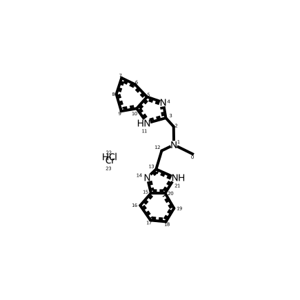 CN(Cc1nc2ccccc2[nH]1)Cc1nc2ccccc2[nH]1.Cl.[Cr]